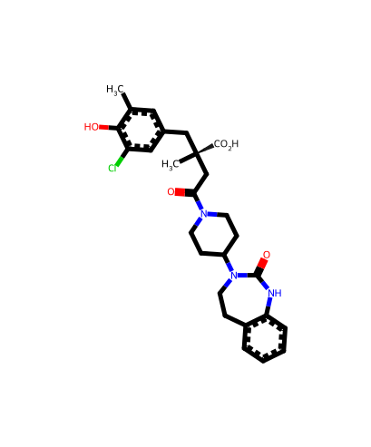 Cc1cc(C[C@@](C)(CC(=O)N2CCC(N3CCc4ccccc4NC3=O)CC2)C(=O)O)cc(Cl)c1O